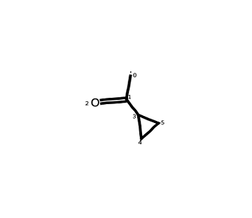 [CH2]C(=O)C1CC1